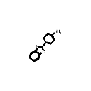 NC1=CC=C(c2nc3ccccc3o2)CC1